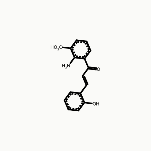 Nc1c(C(=O)O)cccc1C(=O)/C=C/c1ccccc1O